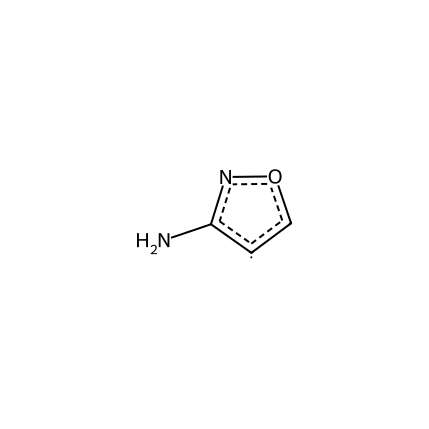 Nc1[c]con1